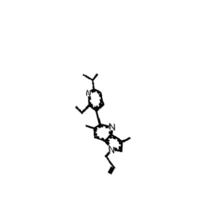 C=CCn1cc(C)c2nc(-c3ccc(C(C)C)nc3CC)c(C)cc21